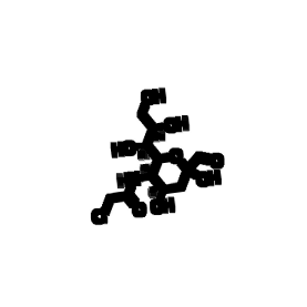 O=CC1(O)C[C@@H](O)[C@@H](NC(=O)CCl)C([C@H](O)[C@H](O)CO)O1